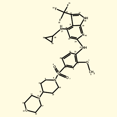 COc1cc(S(=O)(=O)N2CCC(N3CCOCC3)CC2)ccc1Nc1cc(NC2CC2)c2c(C(F)(F)F)c[nH]c2n1